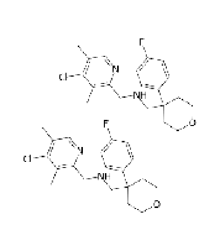 Cc1cnc(CNCC2(c3ccc(F)cc3)CCOCC2)c(C)c1Cl.Cc1cnc(CNCC2(c3ccc(F)cc3)CCOCC2)c(C)c1Cl